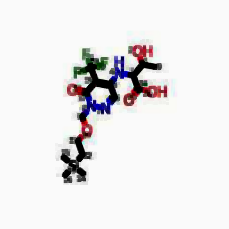 CC(O)C(Nc1cnn(COCC[Si](C)(C)C)c(=O)c1C(F)(F)F)C(=O)O